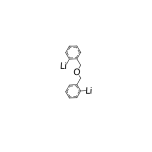 [Li][c]1ccccc1COCc1cccc[c]1[Li]